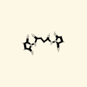 O=C(CCC(=O)ON1C(=O)C=CC1=O)ON1C(=O)C=CC1=O